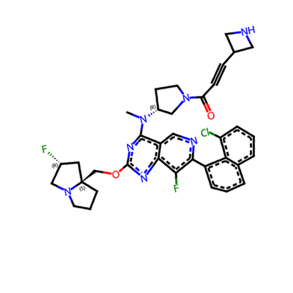 CN(c1nc(OC[C@@]23CCCN2C[C@H](F)C3)nc2c(F)c(-c3cccc4cccc(Cl)c34)ncc12)[C@@H]1CCN(C(=O)C#CC2CNC2)C1